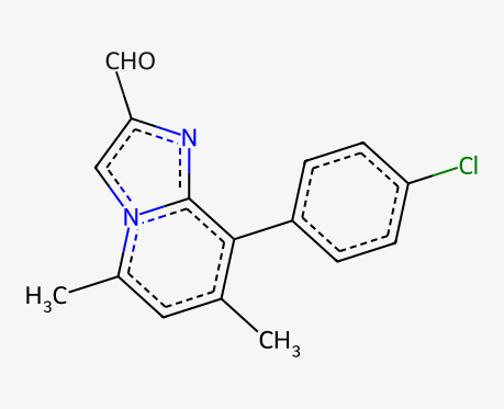 Cc1cc(C)n2cc(C=O)nc2c1-c1ccc(Cl)cc1